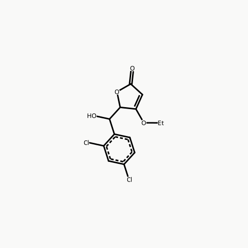 CCOC1=CC(=O)OC1C(O)c1ccc(Cl)cc1Cl